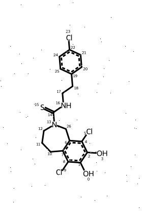 Oc1c(O)c(Cl)c2c(c1Cl)CCCN(C(=S)NCCc1ccc(Cl)cc1)C2